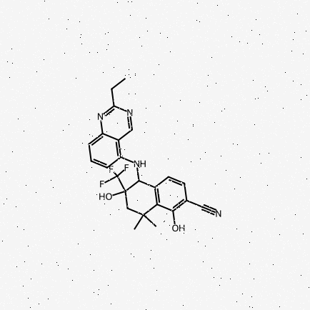 CCc1ncc2c(NC3c4ccc(C#N)c(O)c4C(C)(C)CC3(O)C(F)(F)F)cccc2n1